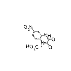 O=C(O)Cn1c(=O)c(=O)[nH]c2cc([N+](=O)[O-])ccc21